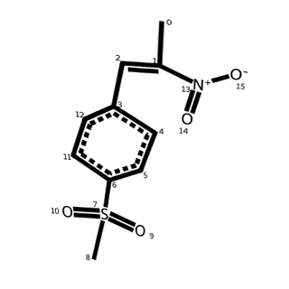 CC(=Cc1ccc(S(C)(=O)=O)cc1)[N+](=O)[O-]